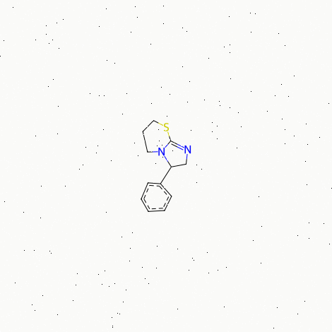 c1ccc(C2CN=C3SCCCN32)cc1